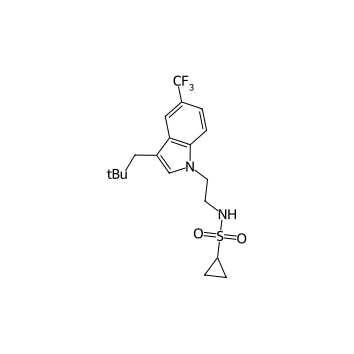 CC(C)(C)Cc1cn(CCNS(=O)(=O)C2CC2)c2ccc(C(F)(F)F)cc12